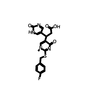 Cn1cc(C(CC(=O)O)c2cnc(=O)[nH]c2)c(=O)nc1SCc1ccc(F)cc1